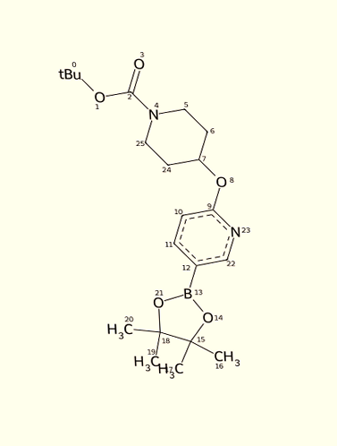 CC(C)(C)OC(=O)N1CCC(Oc2ccc(B3OC(C)(C)C(C)(C)O3)cn2)CC1